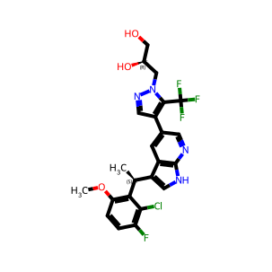 COc1ccc(F)c(Cl)c1[C@@H](C)c1c[nH]c2ncc(-c3cnn(C[C@@H](O)CO)c3C(F)(F)F)cc12